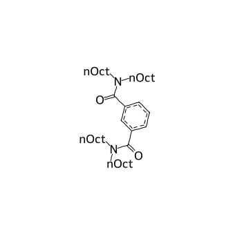 CCCCCCCCN(CCCCCCCC)C(=O)c1cccc(C(=O)N(CCCCCCCC)CCCCCCCC)c1